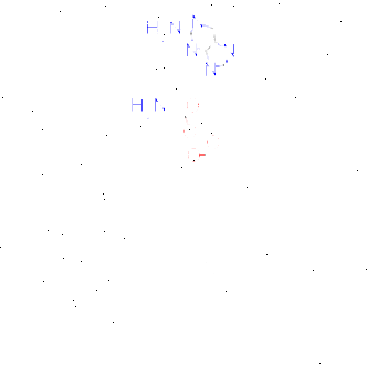 CCCCCCCCCCCCCCCC(=O)OCCC(CCn1cnc2cnc(N)nc21)OC(=O)[C@@H](N)C(C)C